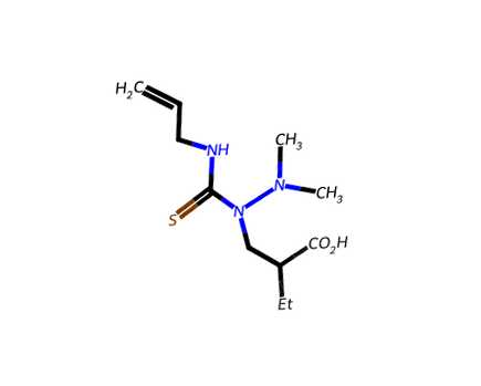 C=CCNC(=S)N(CC(CC)C(=O)O)N(C)C